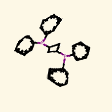 c1ccc(P(c2ccccc2)C2CC(P(c3ccccc3)c3ccccc3)C2)cc1